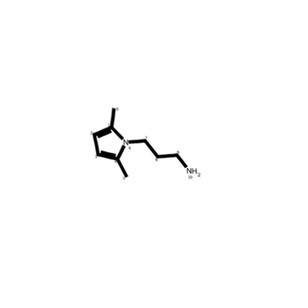 Cc1ccc(C)n1CCCN